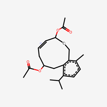 CC(=O)OC1[C]Cc2c(C)ccc(C(C)C)c2CC(OC(C)=O)C/C=C\1